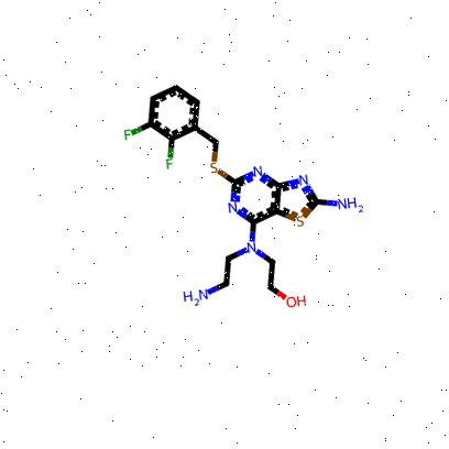 NCCN(CCO)c1nc(SCc2cccc(F)c2F)nc2nc(N)sc12